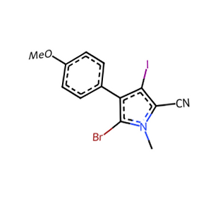 COc1ccc(-c2c(I)c(C#N)n(C)c2Br)cc1